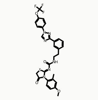 COc1ccc(N2C(=O)CSC2=NC(=O)NCCc2cccc(-c3ncn(-c4ccc(OC(F)(F)F)cc4)n3)c2)c(C)c1